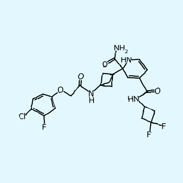 NC(=O)C1(C23CC(NC(=O)COc4ccc(Cl)c(F)c4)(C2)C3)C=C(C(=O)NC2CC(F)(F)C2)C=CN1